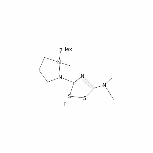 CCCCCC[N+]1(C)CCCN1C1N=C(N(C)C)SS1.[I-]